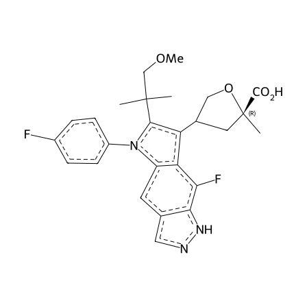 COCC(C)(C)c1c(C2CO[C@@](C)(C(=O)O)C2)c2c(F)c3[nH]ncc3cc2n1-c1ccc(F)cc1